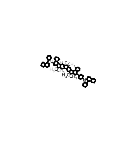 CC1(C)c2cc3c(cc2-c2cc4c(cc21)-c1c(cc(-n2c5ccccc5c5c6ccccc6ccc52)c2ccccc12)C4(C)C)C(C)(C)c1cc(-c2ccc(-n4c5ccccc5c5c6ccccc6ccc54)cc2)c2ccccc2c1-3